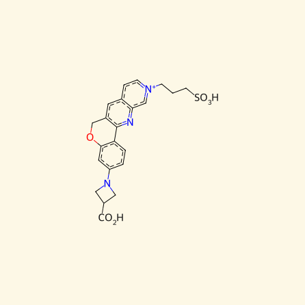 O=C(O)C1CN(c2ccc3c(c2)OCc2cc4cc[n+](CCCS(=O)(=O)O)cc4nc2-3)C1